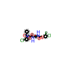 O=C(COc1ccc(Cl)c(F)c1)NC12CC(NC(=O)C3CN(C(=O)c4ccccc4)c4cc(Cl)ccc4O3)(C1)C2